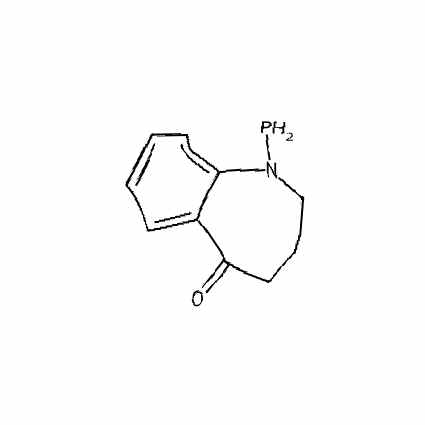 O=C1CCCN(P)c2ccccc21